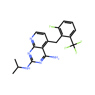 CC(C)Nc1nc(N)c2c(Cc3c(F)cccc3C(F)(F)F)ccnc2n1